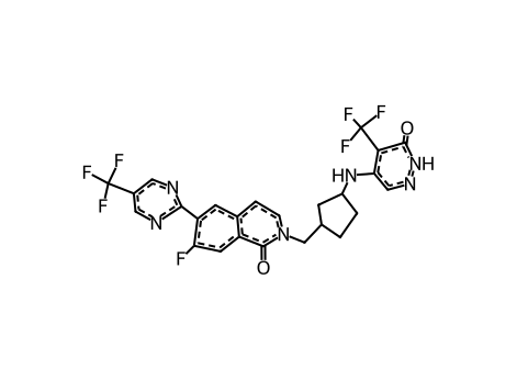 O=c1[nH]ncc(NC2CCC(Cn3ccc4cc(-c5ncc(C(F)(F)F)cn5)c(F)cc4c3=O)C2)c1C(F)(F)F